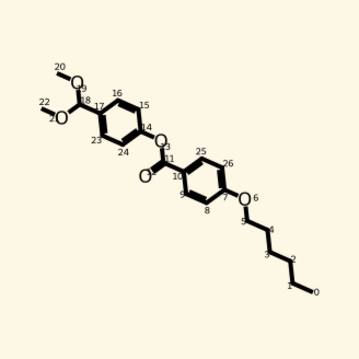 CCCCCCOc1ccc(C(=O)Oc2ccc(C(OC)OC)cc2)cc1